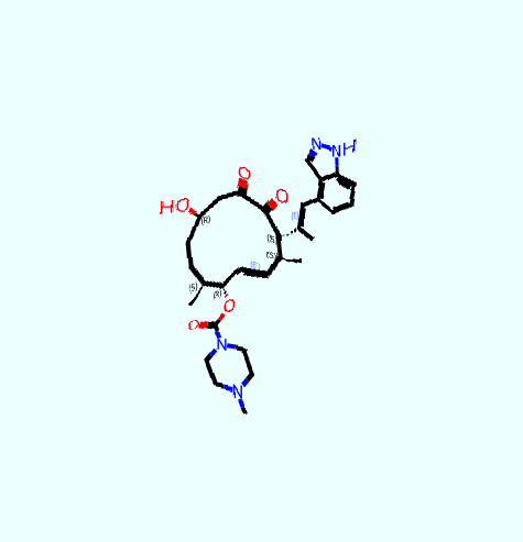 C/C(=C\c1cccc2[nH]ncc12)[C@H]1C(=O)C(=O)C[C@H](O)CC[C@H](C)[C@@H](OC(=O)N2CCN(C)CC2)/C=C/[C@@H]1C